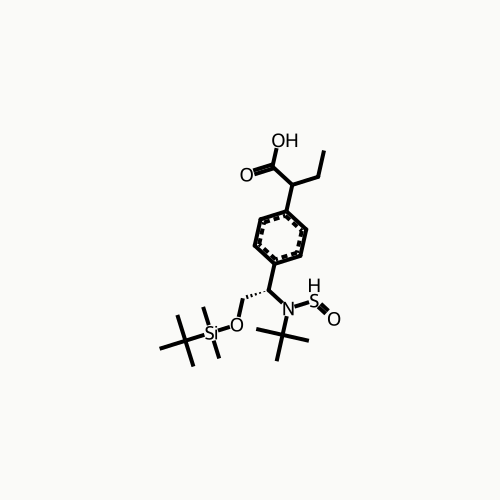 CCC(C(=O)O)c1ccc([C@@H](CO[Si](C)(C)C(C)(C)C)N([SH]=O)C(C)(C)C)cc1